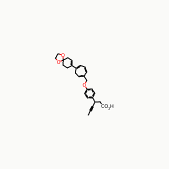 CC#CC(CC(=O)O)c1ccc(OCC2=CCC(C3=CCC4(CC3)OCCO4)=CC=C2)cc1